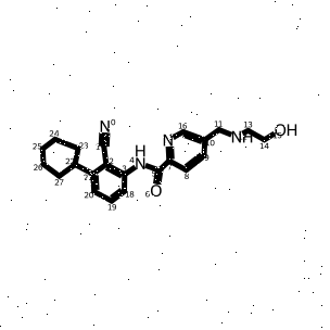 N#Cc1c(NC(=O)c2ccc(CNCCO)cn2)cccc1C1CCCCC1